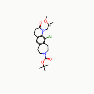 CO[C@@H](C)CN1C(=O)CCc2cc3c(c(Br)c21)CCN(C(=O)OC(C)(C)C)CC3